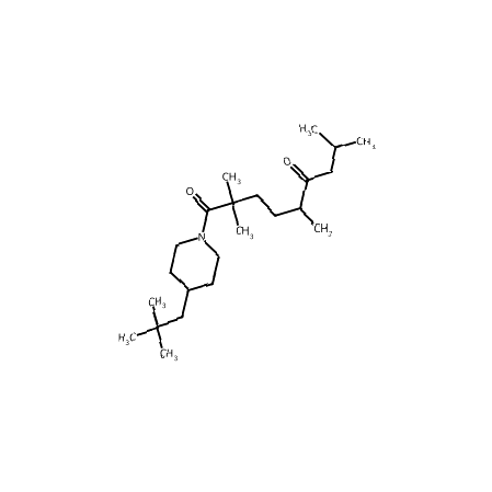 CC(C)CC(=O)C(C)CCC(C)(C)C(=O)N1CCC(CC(C)(C)C)CC1